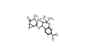 CN1N=C(OC2c3ccc([N+](=O)[O-])cc3OC(C)(C)C2O)C2CC2C1=O